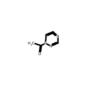 CC(=O)N1C=C=NC=N1